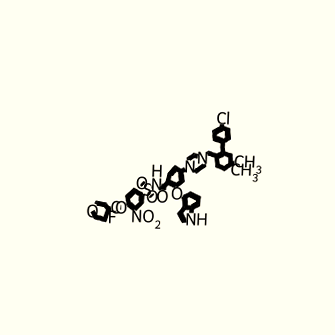 CC1(C)CCC(CN2CCN(c3ccc(C(=O)NS(=O)(=O)c4ccc(OCC5(F)CCOCC5)c([N+](=O)[O-])c4)c(Oc4cccc5[nH]ccc45)c3)CC2)=C(c2ccc(Cl)cc2)C1